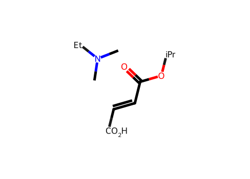 CC(C)OC(=O)C=CC(=O)O.CCN(C)C